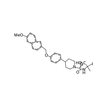 COc1ccc2cc(COc3ccc(C4CCN(S(=O)(=O)NC(C)(I)C(=O)O)CC4)cc3)ccc2c1